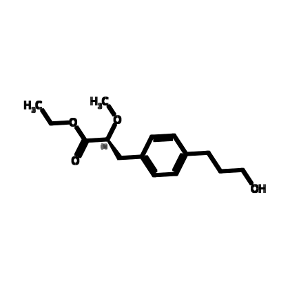 CCOC(=O)[C@H](Cc1ccc(CCCO)cc1)OC